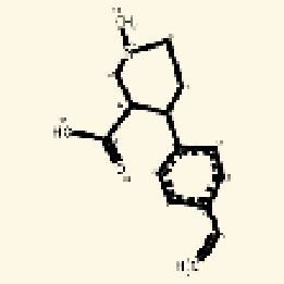 C=Cc1ccc(C2CCN(C)CC2C(=O)O)cc1